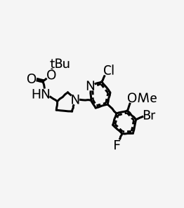 COc1c(Br)cc(F)cc1-c1cc(Cl)nc(N2CCC(NC(=O)OC(C)(C)C)C2)c1